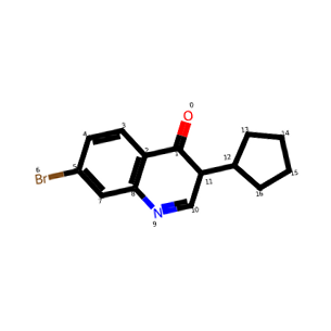 O=C1c2ccc(Br)cc2N=CC1C1CCCC1